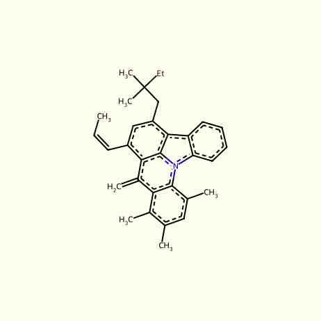 C=c1c2c(C)c(C)cc(C)c2n2c3ccccc3c3c(CC(C)(C)CC)cc(/C=C\C)c1c32